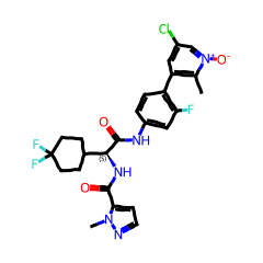 Cc1c(-c2ccc(NC(=O)[C@@H](NC(=O)c3ccnn3C)C3CCC(F)(F)CC3)cc2F)cc(Cl)c[n+]1[O-]